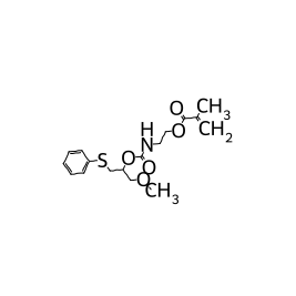 C=C(C)C(=O)OCCNC(=O)OC(COC)CSc1ccccc1